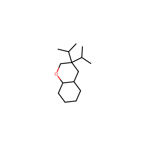 CC(C)C1(C(C)C)COC2CCCCC2C1